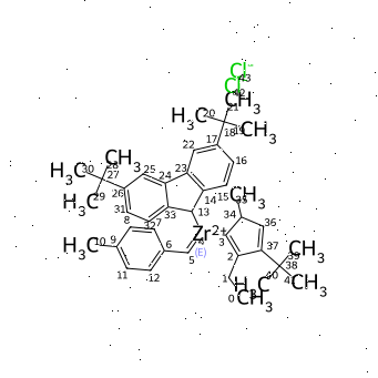 CCC1=[C](/[Zr+2](=[CH]/c2ccc(C)cc2)[CH]2c3ccc(C(C)(C)C)cc3-c3cc(C(C)(C)C)ccc32)C(C)C=C1C(C)(C)C.[Cl-].[Cl-]